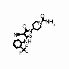 N#Cc1c(Nc2ccccc2C(F)(F)F)sn(C2CCN(C(N)=O)CC2)c1=O